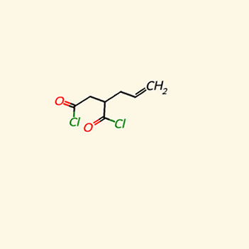 C=CCC(CC(=O)Cl)C(=O)Cl